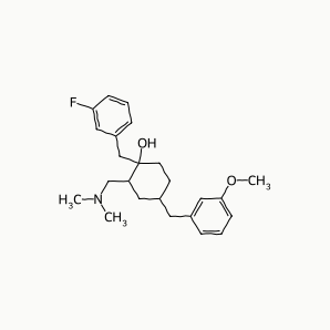 COc1cccc(CC2CCC(O)(Cc3cccc(F)c3)C(CN(C)C)C2)c1